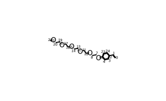 C=Cc1ccc(OCCOCCOCCOCCOCCOC)cc1